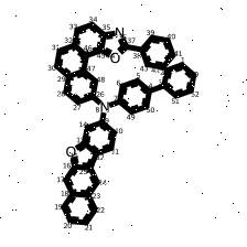 c1ccc(-c2ccc(N(c3ccc4c(c3)oc3cc5ccccc5cc34)c3ccc4ccc5ccc6nc(-c7ccccc7)oc6c5c4c3)cc2)cc1